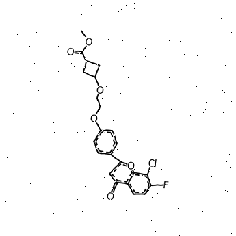 COC(=O)C1CC(OCCOc2ccc(-c3cc(=O)c4ccc(F)c(Cl)c4o3)cc2)C1